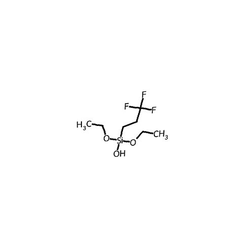 CCO[Si](O)(CCC(F)(F)F)OCC